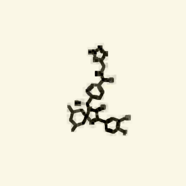 CC[C@H](c1ccc(C(=O)NCc2nn[nH]n2)cc1)N1C(=O)C(c2ccc(F)c(Cl)c2)=NC12CC(C)CC(C)C2